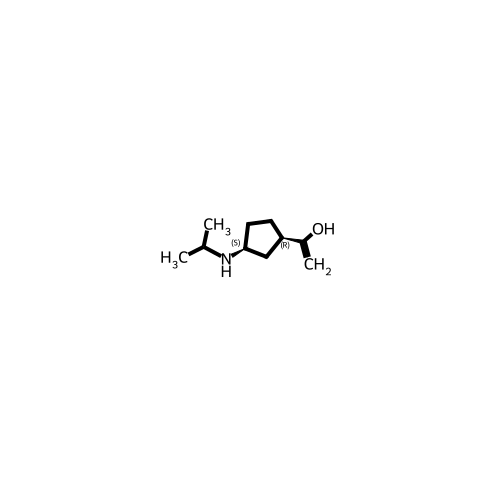 C=C(O)[C@@H]1CC[C@H](NC(C)C)C1